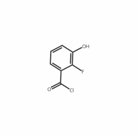 O=C(Cl)c1cccc(O)c1F